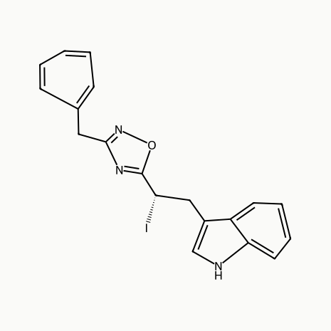 I[C@@H](Cc1c[nH]c2ccccc12)c1nc(Cc2ccccc2)no1